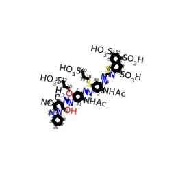 CC(=O)Nc1cc(N=Nc2cc(OCCCS(=O)(=O)O)c(N=Nc3c(C)c(C#N)c4nc5ccccc5n4c3O)cc2NC(C)=O)c(SCCCS(=O)(=O)O)cc1N=Nc1nc2c(S(=O)(=O)O)cc3c(S(=O)(=O)O)cc(S(=O)(=O)O)cc3c2s1